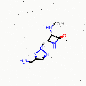 NCc1cnn(C[C@H]2NC(=O)[C@H]2NC(=O)O)n1